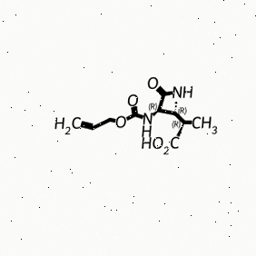 C=CCOC(=O)N[C@H]1C(=O)N[C@@H]1[C@@H](C)C(=O)O